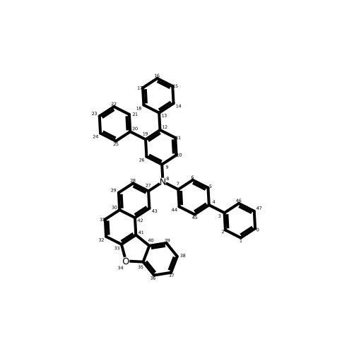 c1ccc(-c2ccc(N(c3ccc(-c4ccccc4)c(-c4ccccc4)c3)c3ccc4ccc5oc6ccccc6c5c4c3)cc2)cc1